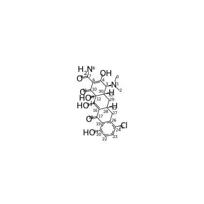 CN(C)[C@@H]1C(O)=C(C(N)=O)C(=O)[C@@]2(O)C(O)=C3C(=O)c4c(O)ccc(Cl)c4C[C@H]3C[C@@H]12